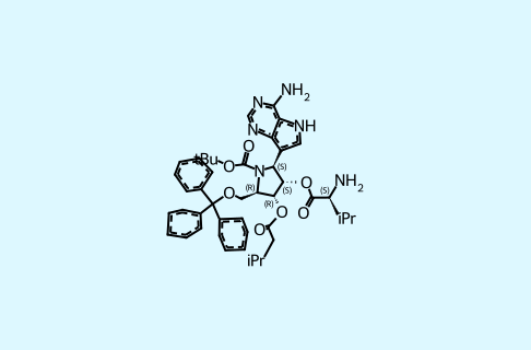 CC(C)CC(=O)O[C@H]1[C@@H](OC(=O)[C@@H](N)C(C)C)[C@H](c2c[nH]c3c(N)ncnc23)N(C(=O)OC(C)(C)C)[C@@H]1COC(c1ccccc1)(c1ccccc1)c1ccccc1